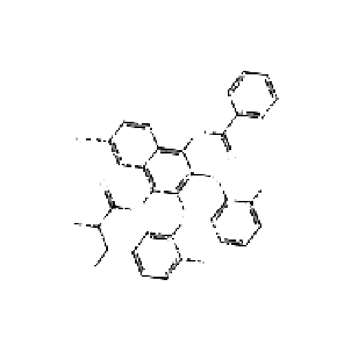 CCC(C)C(=O)Oc1c(Oc2ccccc2Cl)c(Oc2ccccc2Cl)c(OC(=O)c2ccccc2)c2ccc(Cl)cc12